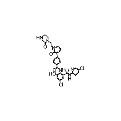 O=C(Nc1c(O)cc(Cl)cc1C(=O)Nc1ccc(Cl)cn1)c1ccc(-c2cccn(CCN3CCNCC3=O)c2=O)cc1